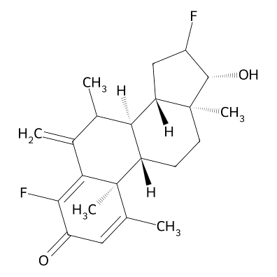 C=C1C2=C(F)C(=O)C=C(C)[C@]2(C)[C@H]2CC[C@]3(C)[C@@H](O)C(F)C[C@H]3[C@@H]2C1C